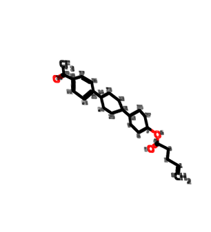 C=CCCC(=O)OC1CCC(C2CCC(c3ccc(C(=O)C(F)(F)F)cc3)CC2)CC1